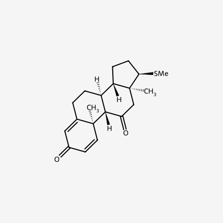 CS[C@@H]1CC[C@H]2[C@@H]3CCC4=CC(=O)C=C[C@]4(C)[C@H]3C(=O)C[C@]12C